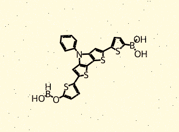 OBOc1ccc(-c2cc3c(s2)c2sc(-c4ccc(B(O)O)s4)cc2n3-c2ccccc2)s1